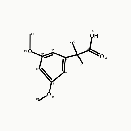 [CH2]C(C)(C(=O)O)c1cc(OC)cc(OC)c1